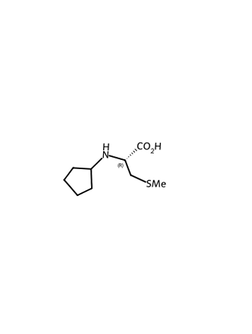 CSC[C@H](NC1CCCC1)C(=O)O